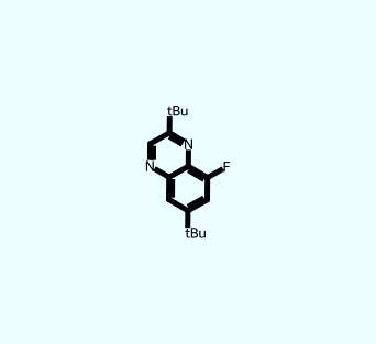 CC(C)(C)c1cc(F)c2nc(C(C)(C)C)cnc2c1